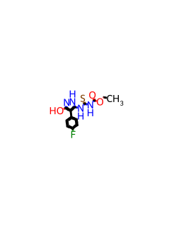 CCOC(=O)NC(=S)Nc1[nH]nc(O)c1-c1ccc(F)cc1